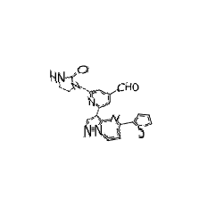 O=Cc1cc(-c2cnn3ccc(-c4cccs4)nc23)nc(N2CCNC2=O)c1